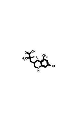 Cc1cc(O)cc2c1CC(CC(C)(C)C(=O)O)CN2